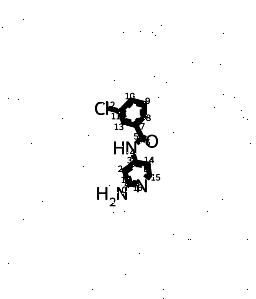 Nc1cc(NC(=O)c2cccc(Cl)c2)ccn1